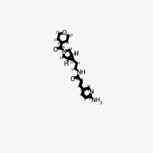 Nc1ccc(/C=C/C(=O)NCCC2[C@H]3CN(C(=O)C4CCOCC4)C[C@@H]23)cn1